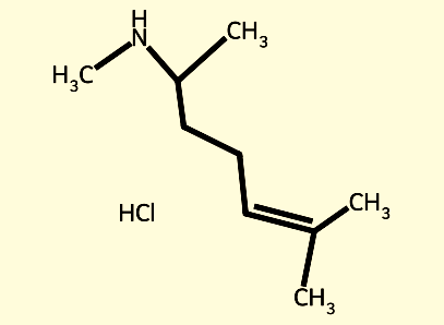 CNC(C)CCC=C(C)C.Cl